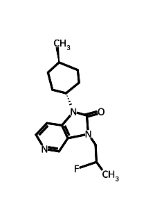 CC(F)Cn1c(=O)n([C@H]2CC[C@H](C)CC2)c2ccncc21